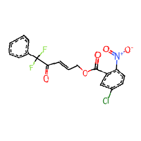 O=C(OC/C=C/C(=O)C(F)(F)c1ccccc1)c1cc(Cl)ccc1[N+](=O)[O-]